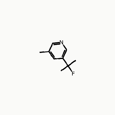 Cc1cncc(C(C)(C)F)c1